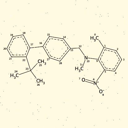 Cc1cccc([N+](=O)[O-])c1N(C)Cc1ccc(-c2ccccc2C(C)(C)C)cc1